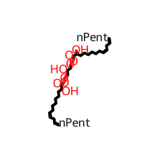 CCCCC/C=C\C/C=C\CCCCCCC(O)C(=O)OOCC(O)COOC(=O)C(O)CCCCCC/C=C\C/C=C\CCCCC